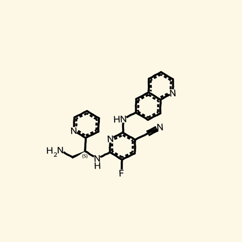 N#Cc1cc(F)c(N[C@@H](CN)c2ccccn2)nc1Nc1ccc2ncccc2c1